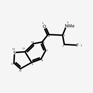 CNC(CF)C(=O)c1ccc2ccsc2c1